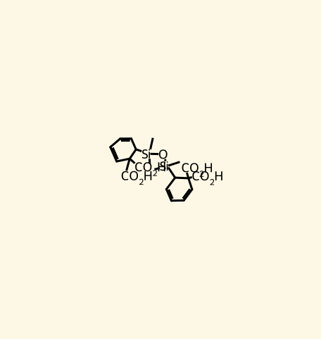 C[Si](C)(O[Si](C)(C)C1C=CC=CC1(C(=O)O)C(=O)O)C1C=CC=CC1(C(=O)O)C(=O)O